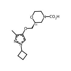 Cc1nn(C2CCC2)cc1OC[C@@H]1CN(C(=O)O)CCO1